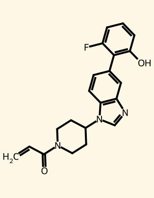 C=CC(=O)N1CCC(n2cnc3cc(-c4c(O)cccc4F)ccc32)CC1